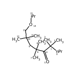 CCCC(C)(C)C(=O)C(C)(C)CC(C)(C)COC(C)C